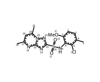 COc1ccc(C)c(Cl)c1NS(=O)(=O)c1nc2nc(C)cc(C)n2n1